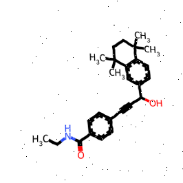 CCNC(=O)c1ccc(C#CC(O)c2ccc3c(c2)C(C)(C)CCC3(C)C)cc1